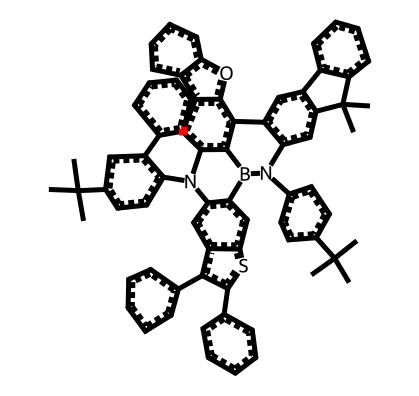 CC(C)(C)c1ccc(N2B3c4cc5sc(-c6ccccc6)c(-c6ccccc6)c5cc4N(c4ccc(C(C)(C)C)cc4-c4ccccc4)c4cc5c(oc6ccccc65)c(c43)-c3cc4c(cc32)C(C)(C)c2ccccc2-4)cc1